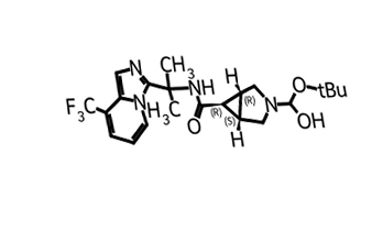 CC(C)(C)OC(O)N1C[C@@H]2[C@H](C1)[C@H]2C(=O)NC(C)(C)c1ncc2c(C(F)(F)F)cccn12